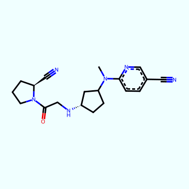 CN(c1ccc(C#N)cn1)C1CC[C@H](NCC(=O)N2CCC[C@H]2C#N)C1